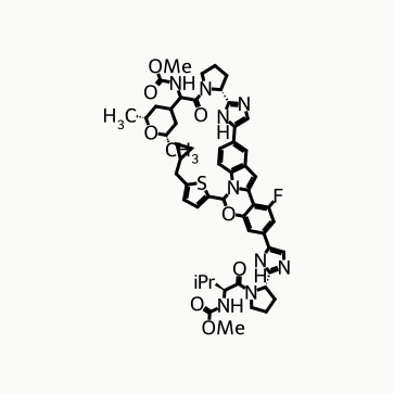 COC(=O)NC(C(=O)N1CCC[C@@H]1c1ncc(-c2ccc3c(c2)cc2n3C(c3ccc(CC4CC4)s3)Oc3cc(-c4cnc([C@@H]5CCCN5C(=O)[C@@H](NC(=O)OC)C(C)C)[nH]4)cc(F)c3-2)[nH]1)C1C[C@@H](C)O[C@@H](C)C1